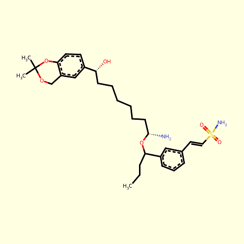 CCCC(O[C@@H](N)CCCCCC[C@@H](O)c1ccc2c(c1)COC(C)(C)O2)c1cccc(/C=C/S(N)(=O)=O)c1